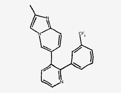 Cc1cn2cc(-c3cccnc3-c3cccc(C(F)(F)F)c3)ccc2n1